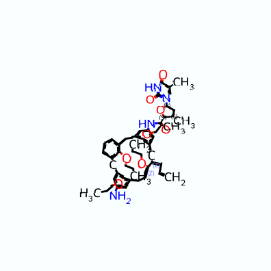 C=C/C=C1Cc2cc(NC(=O)[C@H]3O[C@@H](n4cc(C)c(=O)[nH]c4=O)C[C@@H]3C)cc(c2OCCC)Cc2cccc(c2OCCC)Cc2cc(N)cc(c2OCCC)C/C=C/1OCCC